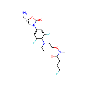 CCN(CCON(C)C(=O)CCCF)c1c(F)cc(N2C[C@H](CN)OC2=O)cc1F